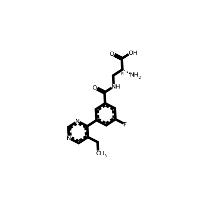 CCc1cncnc1-c1cc(F)cc(C(=O)NC[C@@H](N)C(=O)O)c1